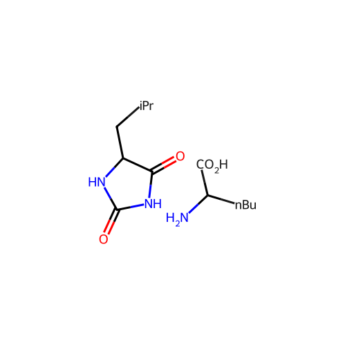 CC(C)CC1NC(=O)NC1=O.CCCCC(N)C(=O)O